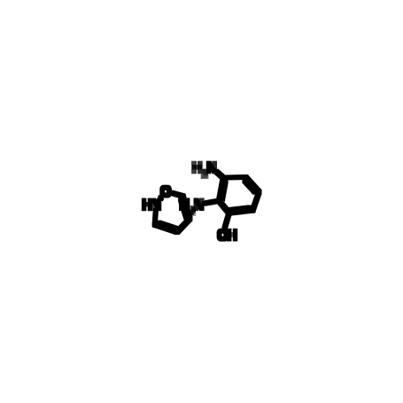 C1=CNOC=C1.Nc1cccc(O)c1N